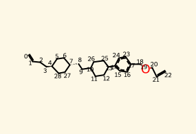 C=CCC[C@H]1CC[C@H](CCC2CCC(c3ccc(COCC=C)cc3)CC2)CC1